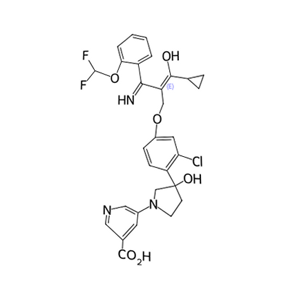 N=C(/C(COc1ccc(C2(O)CCN(c3cncc(C(=O)O)c3)C2)c(Cl)c1)=C(\O)C1CC1)c1ccccc1OC(F)F